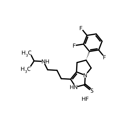 CC(C)NCCCc1[nH]c(=S)n2c1C[C@H](c1c(F)ccc(F)c1F)C2.F